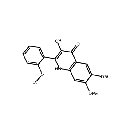 CCOc1ccccc1-c1[nH]c2cc(OC)c(OC)cc2c(=O)c1O